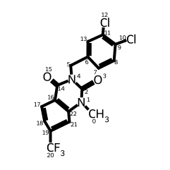 Cn1c(=O)n(Cc2ccc(Cl)c(Cl)c2)c(=O)c2ccc(C(F)(F)F)cc21